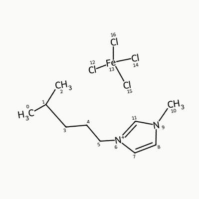 CC(C)CCC[n+]1ccn(C)c1.[Cl][Fe]([Cl])([Cl])[Cl]